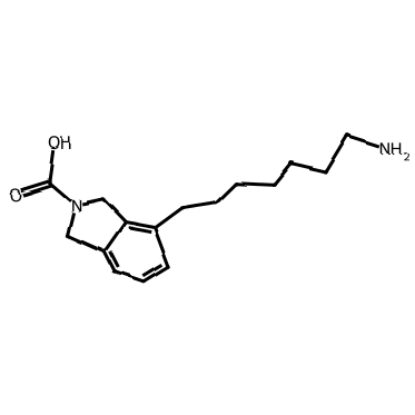 NCCCCCCCc1cccc2c1CN(C(=O)O)C2